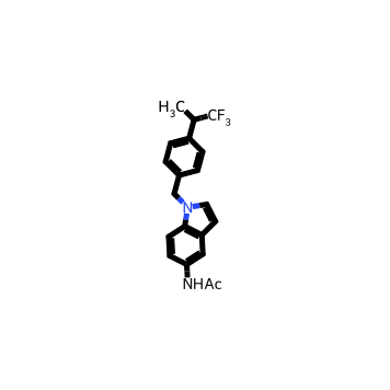 CC(=O)Nc1ccc2c(ccn2Cc2ccc(C(C)C(F)(F)F)cc2)c1